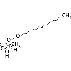 CCCCCCCCC=CCCCCCCCCOCCCOC(CC)C(C(=O)O)N(C)C